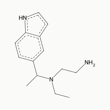 CCN(CCN)C(C)c1ccc2[nH]ccc2c1